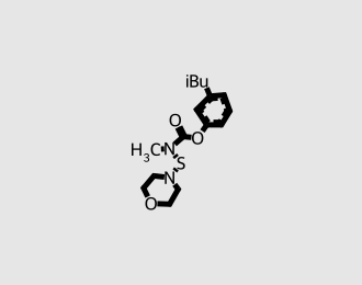 CCC(C)c1cccc(OC(=O)N(C)SN2CCOCC2)c1